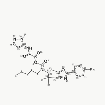 CCCCCN(C(=O)OC(=O)C(=O)Nc1ccnn1C)[C@H](Cc1nnc(-c2ccc(F)cc2)o1)C(C)(C)C